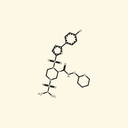 CN(C)S(=O)(=O)N1CCN(S(=O)(=O)c2ccc(-c3ccc(Cl)cc3)s2)[C@@H](C(=O)NOC2CCCCO2)C1